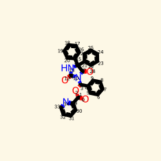 O=C(OC(c1ccccc1)N1C(=O)NC(c2ccccc2)(c2ccccc2)C1=O)c1ccccn1